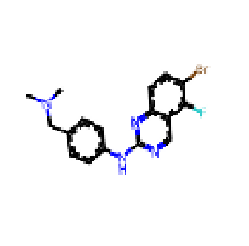 CN(C)Cc1ccc(Nc2ncc3c(F)c(Br)ccc3n2)cc1